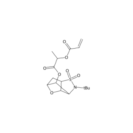 C=CC(=O)OC(C)C(=O)OC1C2CC3C(O2)C1N(C(C)(C)C)S3(=O)=O